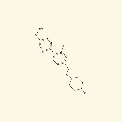 CCCOc1ccc(-c2ccc(CCC3CCC(CC)CC3)cc2F)nn1